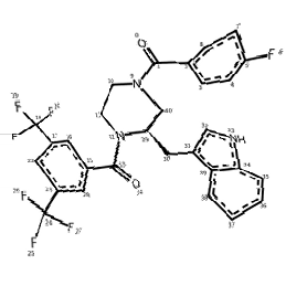 O=C(c1ccc(F)cc1)N1CCN(C(=O)c2cc(C(F)(F)F)cc(C(F)(F)F)c2)[C@H](Cc2c[nH]c3ccccc23)C1